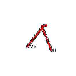 COCCOCCOCCOCCOCCOCCOCCOCCOCCOCCOCCOCCN(CCCOCCOCCOCCOCCOCCOCCOCCOCCOCCOCCOCCO)c1cccc(OCc2ccccc2)c1